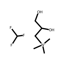 C[N+](C)(C)CC(O)CO.FC(F)F